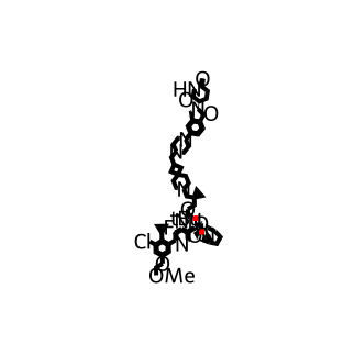 COCOc1cc(Cl)c(C2CC2)c(-c2ncc3c(N4CC5CCC(C4)N5C(=O)OC(C)(C)C)nc(OCC4(CN5CCC6(CC5)CC(CN5CCN(c7ccc8c(c7)CN([C@H]7CCC(=O)NC7=O)C8=O)CC5)C6)CC4)nc3c2F)c1